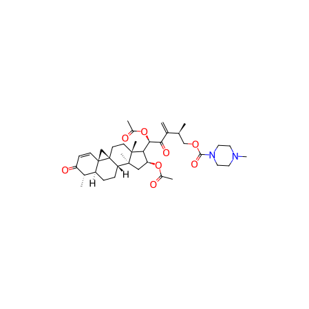 C=C(C(=O)[C@H](OC(C)=O)C1[C@@H](OC(C)=O)C[C@@]2(C)[C@@H]3CC[C@H]4[C@H](C)C(=O)C=C[C@@]45C[C@@]35CC[C@]12C)[C@@H](C)COC(=O)N1CCN(C)CC1